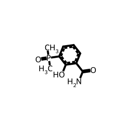 CP(C)(=O)c1cccc(C(N)=O)c1O